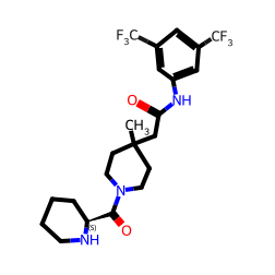 CC1(CC(=O)Nc2cc(C(F)(F)F)cc(C(F)(F)F)c2)CCN(C(=O)[C@@H]2CCCCN2)CC1